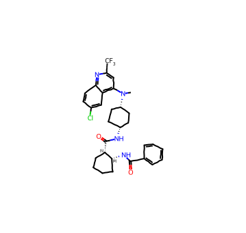 CN(c1cc(C(F)(F)F)nc2ccc(Cl)cc12)[C@H]1CC[C@@H](NC(=O)[C@H]2CCCC[C@H]2NC(=O)c2ccccc2)CC1